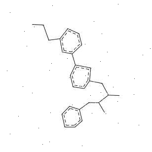 CCCc1cccc(-c2cccc(CC(C)C(C)Cc3ccccc3)c2)c1